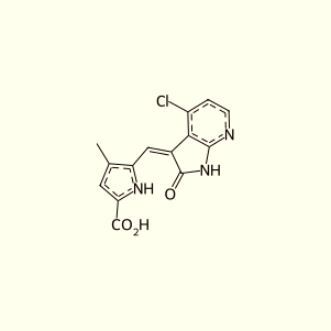 Cc1cc(C(=O)O)[nH]c1/C=C1\C(=O)Nc2nccc(Cl)c21